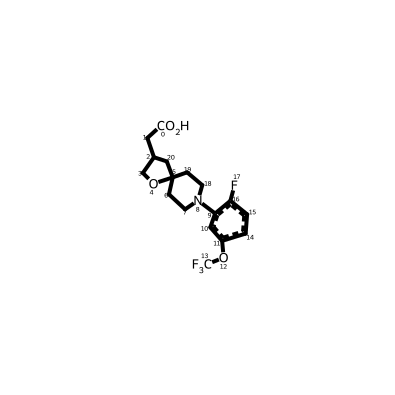 O=C(O)CC1COC2(CCN(c3cc(OC(F)(F)F)ccc3F)CC2)C1